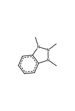 CN1c2ccccc2N(C)N1C